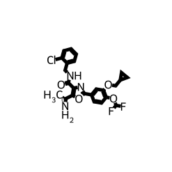 C[C@H](N)c1oc(-c2ccc(OC(F)F)c(OCC3CC3)c2)nc1C(=O)NCc1ccccc1Cl